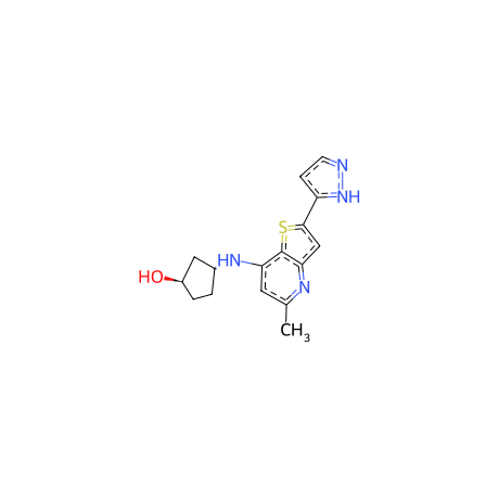 Cc1cc(N[C@@H]2CC[C@@H](O)C2)c2sc(-c3ccn[nH]3)cc2n1